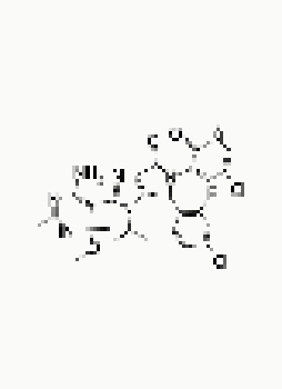 COC1(C)NC(C)=NC(N)=C1c1nc2c(n1C(C)C)C(c1ccc(Cl)cc1F)N(c1cc(Cl)cn(C)c1=O)C2=O